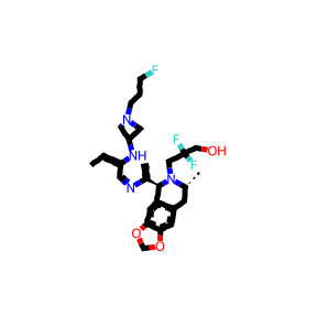 C=C(/N=C\C(=C/C)NC1CN(CCCF)C1)[C@@H]1c2cc3c(cc2C[C@@H](C)N1CC(F)(F)CO)OCO3